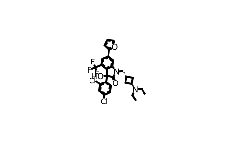 CCN(CC)[C@H]1C[C@H](CN2C(=O)C(O)(c3ccc(Cl)cc3Cl)c3c2cc(-c2ccco2)cc3C(F)(F)F)C1